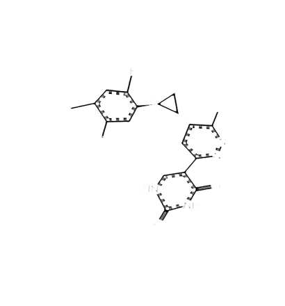 Cc1cc(F)c([C@H]2C[C@@H]2c2cc(-c3c[nH]c(=O)[nH]c3=O)nnc2Cl)cc1F